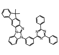 CC1(C)c2ccccc2-c2cc3c(cc21)nc1n(-c2cccc(-c4nc(-c5ccccc5)nc(-c5ccccc5)n4)c2)c2ccccc2n31